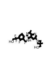 Cc1nnc(N[C@H](C)c2cccc(C(F)(F)CO)c2F)c2cc(N3CC(C)(CO)C3)cnc12